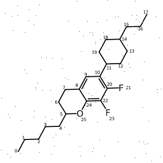 CCCCCC1CCc2cc(C3CCC(CCC)CC3)c(F)c(F)c2O1